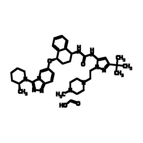 C[C@H]1CCCCN1c1nnc2ccc(O[C@@H]3CC[C@H](NC(=O)Nc4cc(C(C)(C)C)nn4CCN4CCN(C)CC4)c4ccccc43)cn12.O=CO